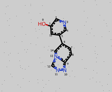 Oc1cncc(-c2ccc3nncn3c2)c1